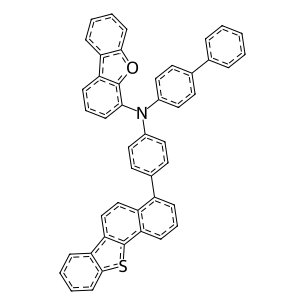 c1ccc(-c2ccc(N(c3ccc(-c4cccc5c4ccc4c6ccccc6sc54)cc3)c3cccc4c3oc3ccccc34)cc2)cc1